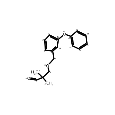 CC(C)(C=O)COCc1cccc(Oc2ccccc2)c1